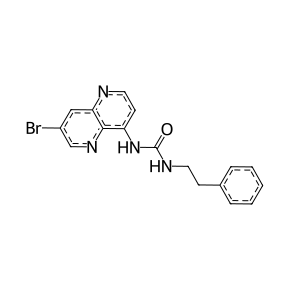 O=C(NCCc1ccccc1)Nc1ccnc2cc(Br)cnc12